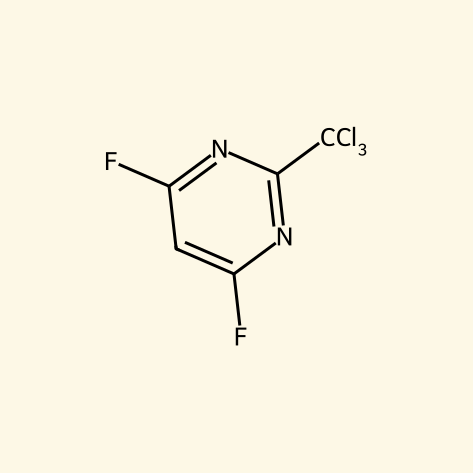 Fc1cc(F)nc(C(Cl)(Cl)Cl)n1